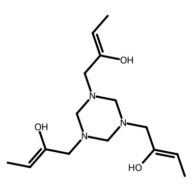 CC=C(O)CN1CN(CC(O)=CC)CN(CC(O)=CC)C1